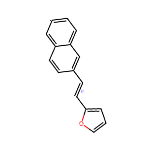 [c]1ccc2cc(/C=C/c3ccco3)ccc2c1